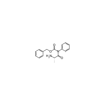 C[C@H](N)C(=O)N(C(=O)OCc1ccccc1)c1[c]cccc1